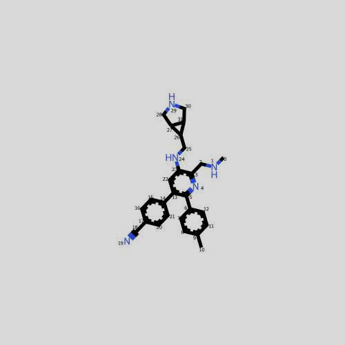 CNCc1nc(-c2ccc(C)cc2)c(-c2ccc(C#N)cc2)cc1NCC1C2CNCC21